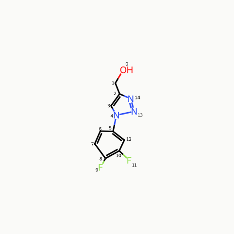 OCc1cn(-c2ccc(F)c(F)c2)nn1